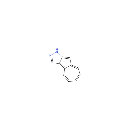 c1ccc2cc3[nH]ncc3c-2cc1